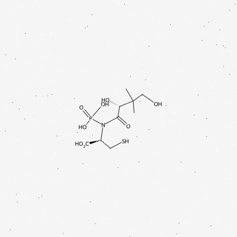 CC(C)(CO)[C@@H](O)C(=O)N([C@@H](CS)C(=O)O)P(=O)(O)O